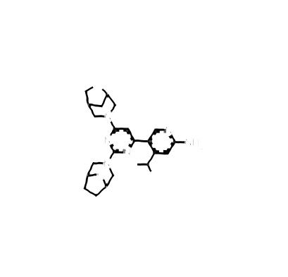 Nc1cc(C(F)F)c(-c2cc(N3CC4COC(C4)C3)nc(N3CC4CCC(C3)O4)n2)cn1